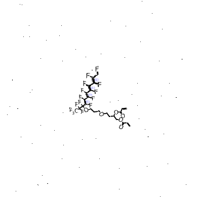 C=CC(=O)OCC(CCOCCCOC(F)(/C(F)=C(F)/C(F)=C(F)/C(F)=C(F)/C(F)=C(\F)CF)C(F)(F)C(F)(F)F)OC(=O)C=C